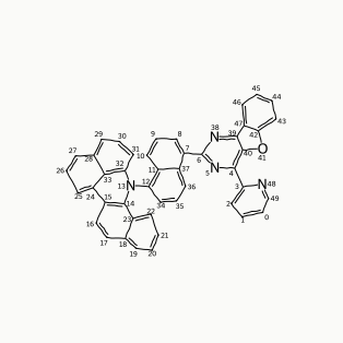 c1ccc(-c2nc(-c3cccc4c(N5c6c(ccc7ccccc67)-c6cccc7cccc5c67)cccc34)nc3c2oc2ccccc23)nc1